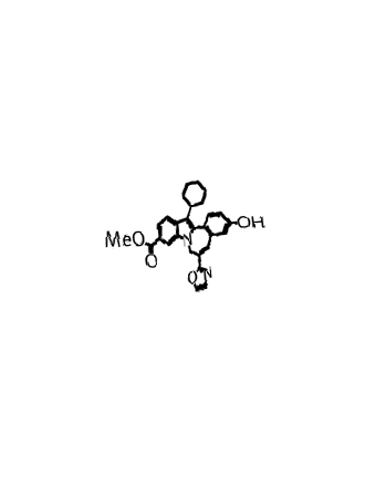 COC(=O)c1ccc2c(C3CCCCC3)c3n(c2c1)CC(c1ncco1)=Cc1cc(O)ccc1-3